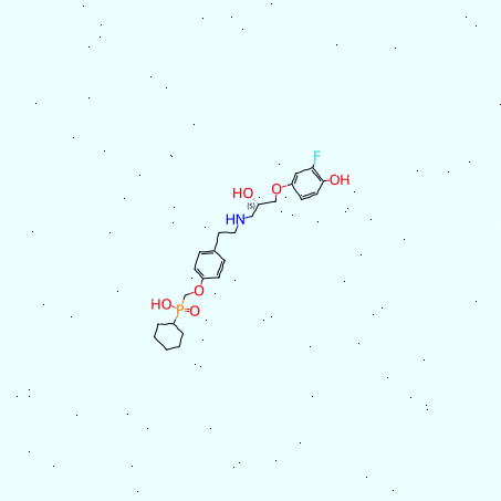 O=P(O)(COc1ccc(CCNC[C@H](O)COc2ccc(O)c(F)c2)cc1)C1CCCCC1